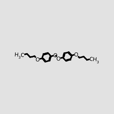 CCCCOc1ccc(OOc2ccc(OCCCC)cc2)cc1